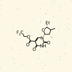 CC[C@H]1O[C@@H](n2cc(C(=O)OCC(F)(F)F)c(=O)[nH]c2=O)[C@@H](C)C1C